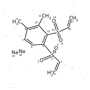 C=CS(=O)(=O)c1ccc(C)c(C)c1S(=O)(=O)C=C.[Na].[Na]